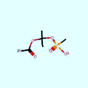 CC(C)C(=O)OC(C)(C)OP(C)(=O)O